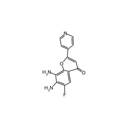 Nc1c(F)cc2c(=O)cc(-c3ccncc3)oc2c1N